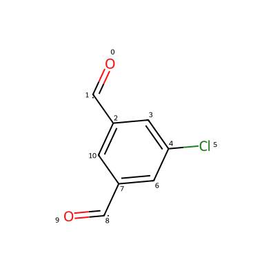 O=[C]c1cc(Cl)cc([C]=O)c1